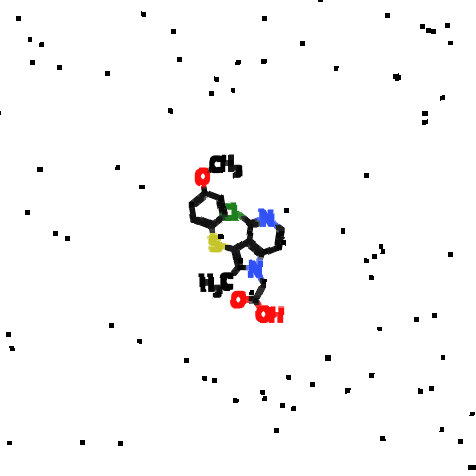 COc1ccc(Sc2c(C)n(CC(=O)O)c3ccnc(Cl)c23)cc1